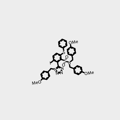 COc1ccc(CN(Cc2ccc(OC)cc2)S(=O)(=O)c2c(Sc3ccccc3)ccc(I)c2-c2nnnn2Cc2ccc(OC)cc2)cc1